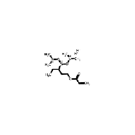 C=CC(=O)OCCC(CC)[SiH](O[SiH](C)C)O[SiH](C)C.[H+].[H+]